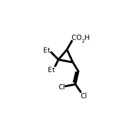 CCC1(CC)C(C=C(Cl)Cl)C1C(=O)O